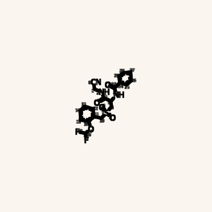 N#CCNC(=O)C(CS(=O)(=O)Cc1ccccc1OC(F)F)NC(=O)c1ccccc1